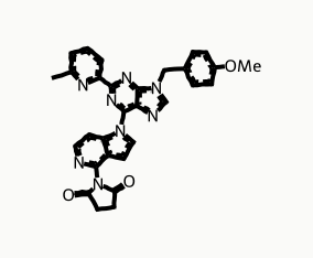 COc1ccc(Cn2cnc3c(-n4ccc5c(N6C(=O)CCC6=O)nccc54)nc(-c4cccc(C)n4)nc32)cc1